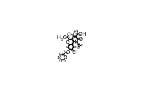 CC(C)C1Oc2cc(OC[C@@H]3COCCO3)c(Cl)cc2-c2c1cc(C(=O)O)c(=O)n2C1CC1